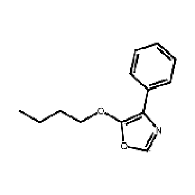 CCCCOc1o[c]nc1-c1ccccc1